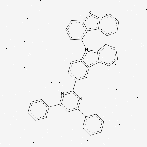 c1ccc(-c2cc(-c3ccccc3)nc(-c3ccc4c(c3)c3ccccc3n4-c3cccc4sc5ccccc5c34)n2)cc1